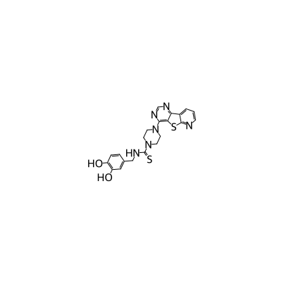 Oc1ccc(CNC(=S)N2CCN(c3ncnc4c3sc3ncccc34)CC2)cc1O